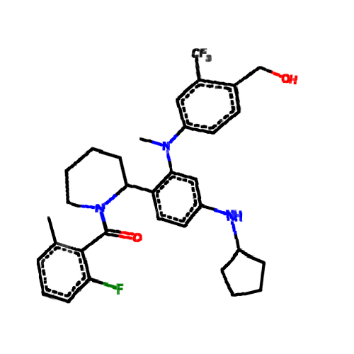 Cc1cccc(F)c1C(=O)N1CCCCC1c1ccc(NC2CCCC2)cc1N(C)c1ccc(CO)c(C(F)(F)F)c1